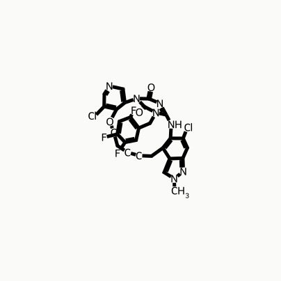 Cn1cc2c3c(c(Cl)cc2n1)Nc1nc(=O)n(c(=O)n1Cc1cc(F)c(F)cc1F)-c1cncc(Cl)c1OCCCCC3